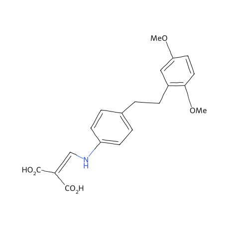 COc1ccc(OC)c(CCc2ccc(NC=C(C(=O)O)C(=O)O)cc2)c1